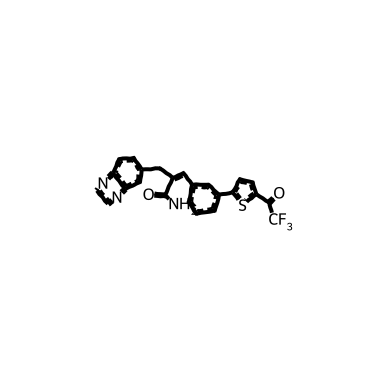 NC(=O)C(=Cc1cccc(-c2ccc(C(=O)C(F)(F)F)s2)c1)Cc1ccc2nccnc2c1